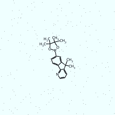 CC1(C)c2cc(B3OC(C)(C)C(C)(C)O3)ccc2-c2ncccc21